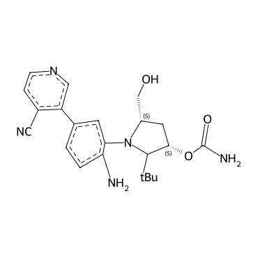 CC(C)(C)C1[C@@H](OC(N)=O)C[C@@H](CO)N1c1cc(-c2cnccc2C#N)ccc1N